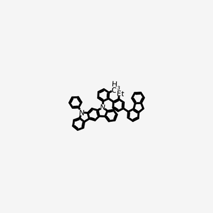 CCc1cc(-c2cccc3c2-c2ccccc2C3)ccc1-c1c(C)cccc1-n1c2ccccc2c2cc3c4ccccc4n(-c4ccccc4)c3cc21